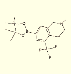 CN1CCc2c(cc(B3OC(C)(C)C(C)(C)O3)cc2C(F)(F)F)C1